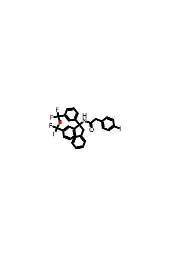 O=C(Cc1ccc(I)cc1)NC(Cc1ccccc1)(c1cccc(C(F)(F)F)c1)c1cccc(C(F)(F)F)c1